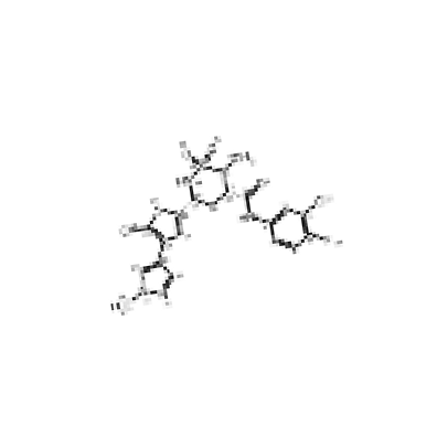 CN1[C@H](C(=O)Nc2ccc(F)c(Cl)c2)C[C@H](c2cc(-c3cnn(C)c3)c(Cl)s2)NS1(=O)=O